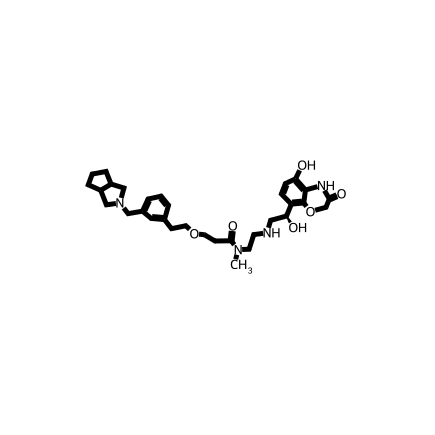 CN(CCNC[C@H](O)c1ccc(O)c2c1OCC(=O)N2)C(=O)CCOCCc1cccc(CN2CC3CCCC3C2)c1